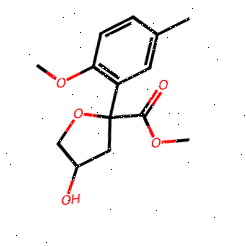 COC(=O)C1(c2cc(C)ccc2OC)CC(O)CO1